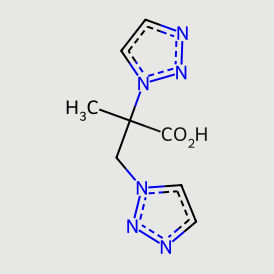 CC(Cn1ccnn1)(C(=O)O)n1ccnn1